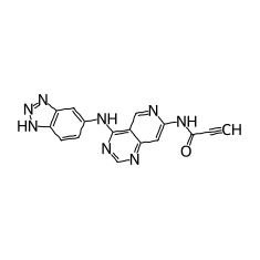 C#CC(=O)Nc1cc2ncnc(Nc3ccc4[nH]nnc4c3)c2cn1